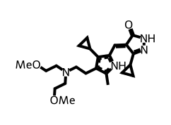 COCCN(CCOC)CCc1c(C)[nH]c(C=C2C(=O)NN=C2C2CC2)c1C1CC1